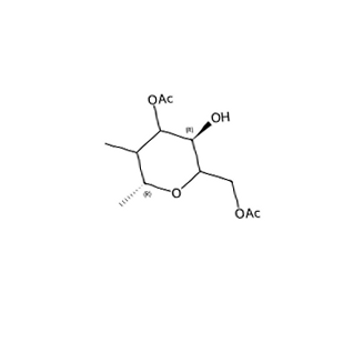 CC(=O)OCC1O[C@H](C)C(C)C(OC(C)=O)[C@H]1O